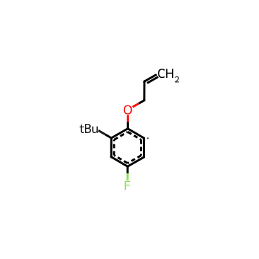 C=CCOc1[c]cc(F)cc1C(C)(C)C